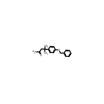 CC(C)(CC(N)=O)c1ccc(OCc2ccccc2)cc1